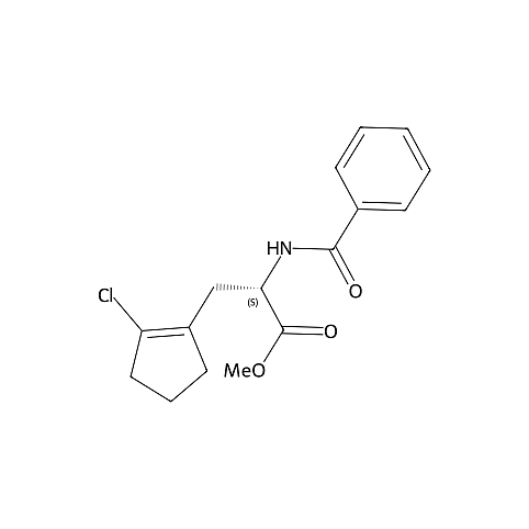 COC(=O)[C@H](CC1=C(Cl)CCC1)NC(=O)c1ccccc1